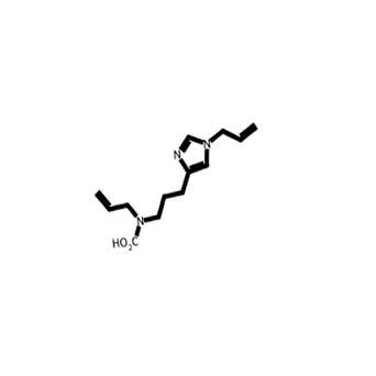 C=CCN(CCCc1cn(CC=C)cn1)C(=O)O